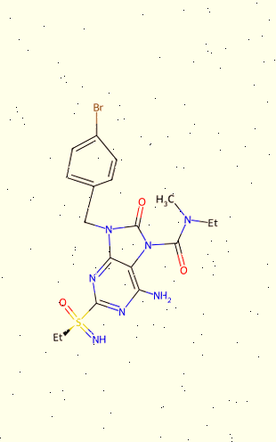 CCN(C)C(=O)n1c(=O)n(Cc2ccc(Br)cc2)c2nc([S@](=N)(=O)CC)nc(N)c21